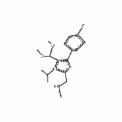 CNCc1nc(-c2ccc(F)cc2)c(C(OC)OC)n1C(C)C